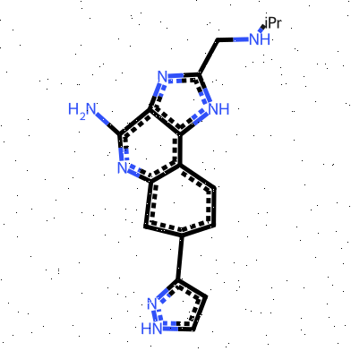 CC(C)NCc1nc2c(N)nc3cc(-c4cc[nH]n4)ccc3c2[nH]1